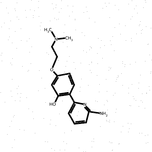 CN(C)CCOc1ccc(-c2cccc(N)n2)c(O)c1